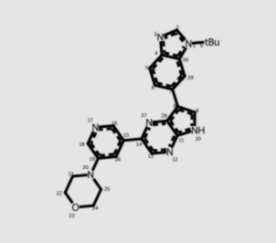 CC(C)(C)n1cnc2ccc(-c3c[nH]c4ncc(-c5cncc(N6CCOCC6)c5)nc34)cc21